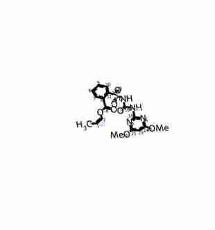 C/C=C\OC(=O)c1ccccc1S(=O)(=O)NC(=O)Nc1nc(OC)cc(OC)n1